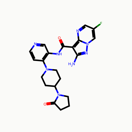 Nc1nn2cc(F)cnc2c1C(=O)Nc1cnccc1N1CCC(N2CCCC2=O)CC1